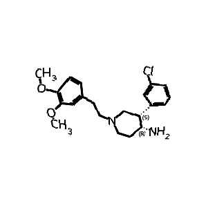 COc1ccc(CCN2CC[C@@H](N)[C@@H](c3cccc(Cl)c3)C2)cc1OC